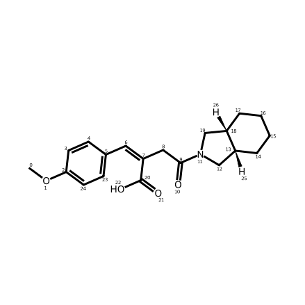 COc1ccc(C=C(CC(=O)N2C[C@H]3CCCC[C@H]3C2)C(=O)O)cc1